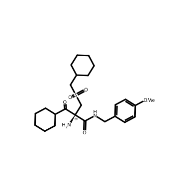 COc1ccc(CNC(=O)[C@@](N)(CS(=O)(=O)CC2CCCCC2)C(=O)C2CCCCC2)cc1